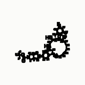 CC(C)(C)OC(=O)N1CC2=CN(c3ccc4c(c3)[C@@H]3C[C@H]4OCC=CCCCC(=O)N[C@@H](Cc4cc(F)cc(F)c4)[C@H](O)CN3)CC2C1